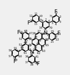 Fc1cccc(-c2cc(-c3cccc(F)c3)cc(N(c3cccc(F)c3)c3ccc4ccc5c(N(c6cccc(F)c6)c6cc(-c7cccc(F)c7)cc(-c7cccc(F)c7)c6)ccc6ccc3c4c65)c2)c1